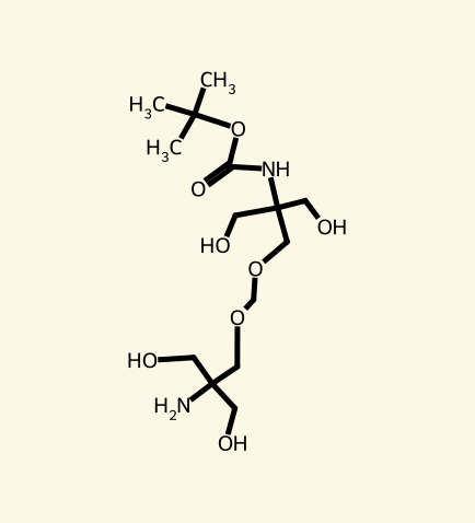 CC(C)(C)OC(=O)NC(CO)(CO)COCOCC(N)(CO)CO